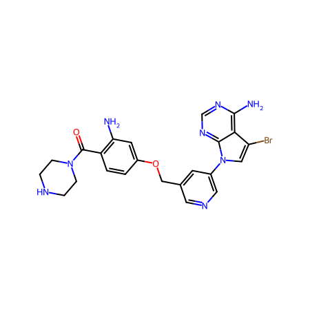 Nc1cc(OCc2cncc(-n3cc(Br)c4c(N)ncnc43)c2)ccc1C(=O)N1CCNCC1